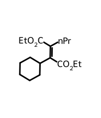 CCCC(C(=O)OCC)=C(C(=O)OCC)C1CCCCC1